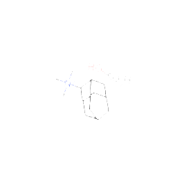 C[N+](C)(C)C1C2CC3CC(C2)CC1C3.O=S(=O)(O)O